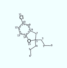 CCCC1(CCC)Cc2cc(Cl)ccc2O1